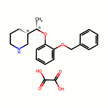 C[C@H](Oc1ccccc1OCc1ccccc1)[C@H]1CCCNC1.O=C(O)C(=O)O